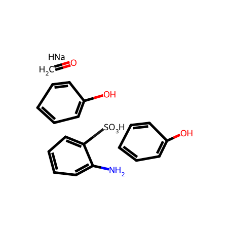 C=O.Nc1ccccc1S(=O)(=O)O.Oc1ccccc1.Oc1ccccc1.[NaH]